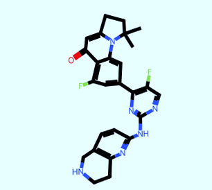 CC1(C)CCc2cc(=O)c3c(F)cc(-c4nc(Nc5ccc6c(n5)CCNC6)ncc4F)cc3n21